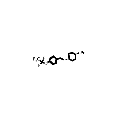 CCC[C@H]1CC[C@H](CCc2ccc(OC(F)(F)C(F)(F)F)cc2)CC1